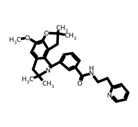 COc1cc2c(c3c1OC(C)(C)C3)C(c1cccc(C(=O)NCCc3ccccn3)c1)=NC(C)(C)C2